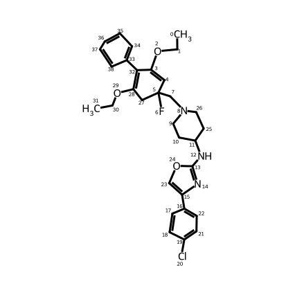 CCOC1=CC(F)(CN2CCC(Nc3nc(-c4ccc(Cl)cc4)co3)CC2)CC(OCC)=C1c1ccccc1